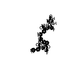 C/C=C(/NC(=O)C1CC(F)CN1C(=O)Cn1nc(C(N)=O)c2cc(-c3cnnc(C4CC(N5CCc6c(cccc6NC(=O)C6CC(F)CN6C(=O)Cn6nc(C(N)=O)c7cc(-c8ccnnc8)ccc76)C5)C(=O)O4)c3)ccc21)n1ncnc1NC=O